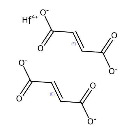 O=C([O-])/C=C/C(=O)[O-].O=C([O-])/C=C/C(=O)[O-].[Hf+4]